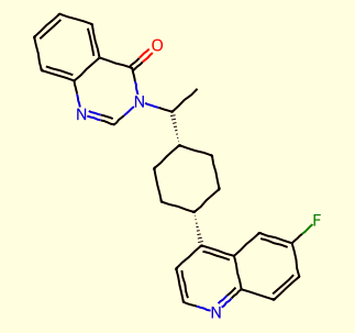 CC([C@H]1CC[C@@H](c2ccnc3ccc(F)cc32)CC1)n1cnc2ccccc2c1=O